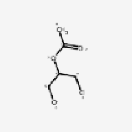 CC(=O)OC(C[O])CCl